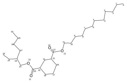 CCCCCCCCCCCCOC(=O)C1CCCC(C(=O)OCC(CC)CCCC)C1